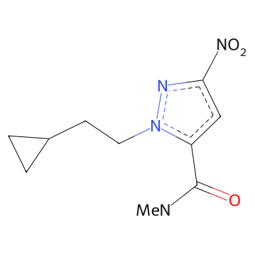 CNC(=O)c1cc([N+](=O)[O-])nn1CCC1CC1